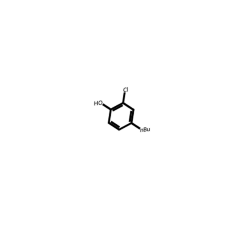 [CH2]CCCc1ccc(O)c(Cl)c1